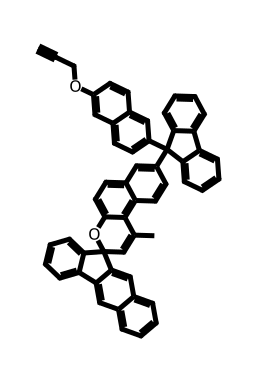 C#CCOc1ccc2cc(C3(c4ccc5c6c(ccc5c4)OC4(C=C6C)c5ccccc5-c5cc6ccccc6cc54)c4ccccc4-c4ccccc43)ccc2c1